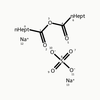 CCCCCCCC(=O)OC(=O)CCCCCCC.O=S(=O)([O-])[O-].[Na+].[Na+]